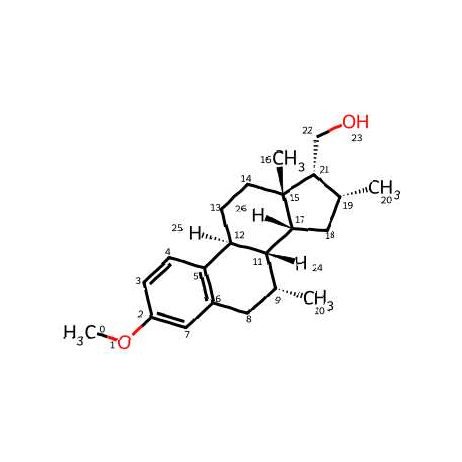 COc1ccc2c(c1)C[C@@H](C)[C@@H]1[C@@H]2CC[C@@]2(C)[C@@H]1C[C@@H](C)[C@H]2CO